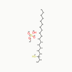 CCCCCCCCCCCCCCCCC(S)CC.COS(=O)(=O)O